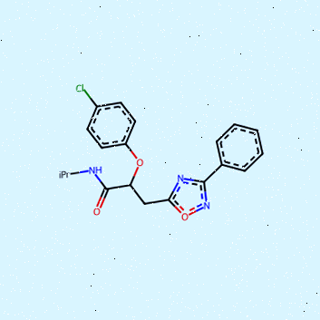 CC(C)NC(=O)C(Cc1nc(-c2ccccc2)no1)Oc1ccc(Cl)cc1